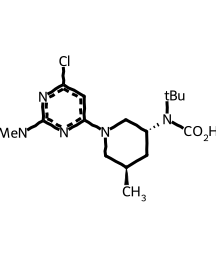 CNc1nc(Cl)cc(N2C[C@H](C)C[C@@H](N(C(=O)O)C(C)(C)C)C2)n1